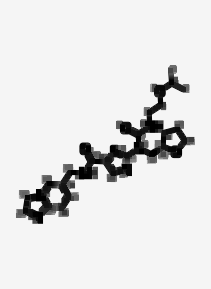 CC(C)OCCNC(=O)N(C[C@H]1CCCO1)c1ncc(C(=O)NCc2ccc3nccn3c2)s1